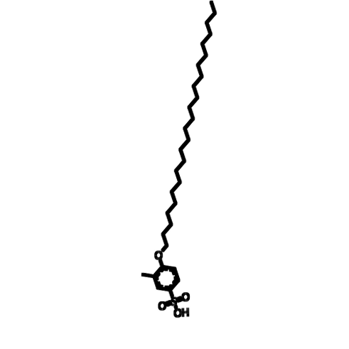 CCCCCCCCCCCCCCCCCCCCCCCCOc1ccc(S(=O)(=O)O)cc1C